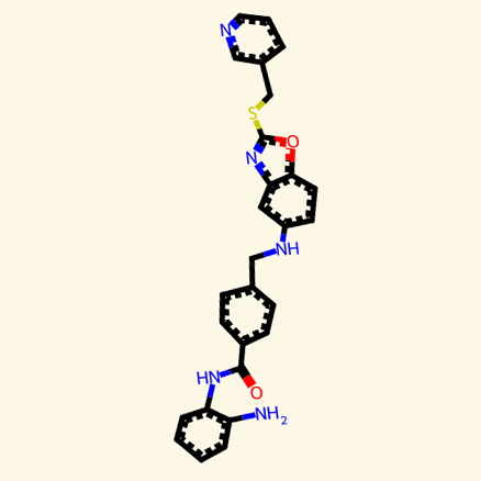 Nc1ccccc1NC(=O)c1ccc(CNc2ccc3oc(SCc4cccnc4)nc3c2)cc1